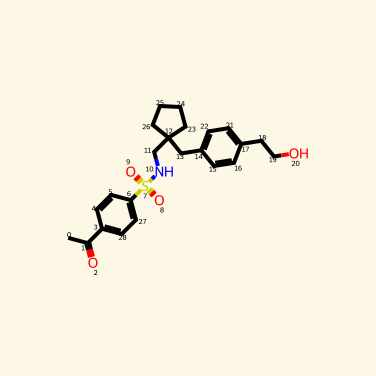 CC(=O)c1ccc(S(=O)(=O)NCC2(Cc3ccc(CCO)cc3)CCCC2)cc1